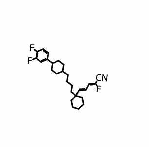 N#CC(F)=CC=CC1(CCCCC2CCC(c3ccc(F)c(F)c3)CC2)CCCCC1